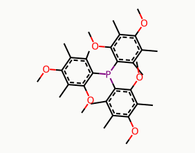 COc1c(C)c(C)c(P(c2c(C)c(C)c(OC)c(C)c2OC)c2c(C)c(C)c(OC)c(C)c2OC)c(OC)c1C